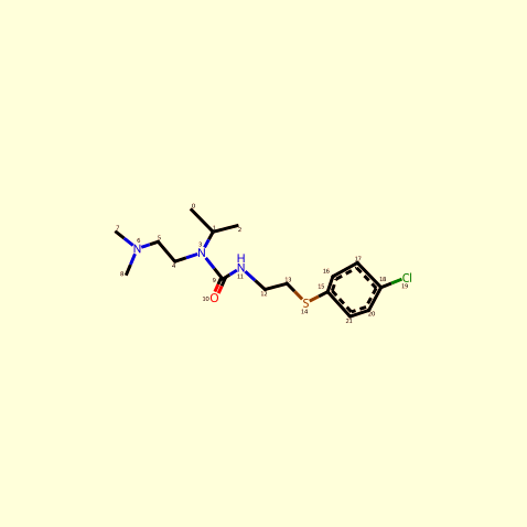 CC(C)N(CCN(C)C)C(=O)NCCSc1ccc(Cl)cc1